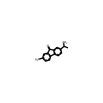 CC(N)c1ccc2c(c1)C(=O)c1cc([N+](=O)[O-])ccc1-2